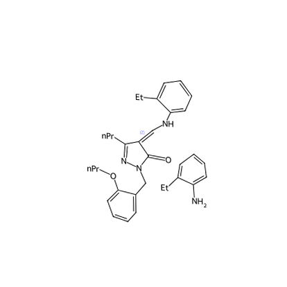 CCCOc1ccccc1CN1N=C(CCC)/C(=C/Nc2ccccc2CC)C1=O.CCc1ccccc1N